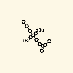 CC(C)(C)c1ccc2c(-c3ccc(-c4ccc5c(c4)c4cc(-c6ccccc6)ccc4n5-c4ccccc4)cc3)c3cc(C(C)(C)C)ccc3c(-c3ccc(-c4ccc(-c5ccccc5)cc4)cc3)c2c1